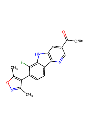 COC(=O)c1cnc2c(c1)[nH]c1c(F)c(-c3c(C)noc3C)ccc12